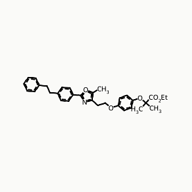 CCOC(=O)C(C)(C)Oc1ccc(OCCc2nc(-c3ccc(CCc4ccccc4)cc3)oc2C)cc1